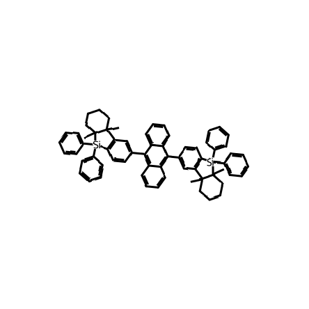 CC12CCCCC1(C)[Si](c1ccccc1)(c1ccccc1)c1ccc(-c3c4ccccc4c(-c4ccc5c(c4)C4(C)CCCCC4(C)[Si]5(c4ccccc4)c4ccccc4)c4ccccc34)cc12